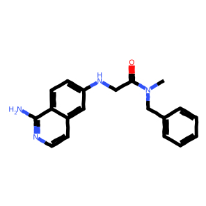 CN(Cc1ccccc1)C(=O)CNc1ccc2c(N)nccc2c1